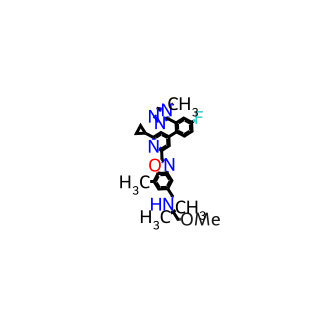 COCC(C)(C)NCc1cc(C)c2oc(-c3cc(-c4ccc(F)cc4-c4nncn4C)cc(C4CC4)n3)nc2c1